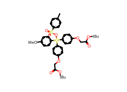 COc1ccc(S(OS(=O)(=O)c2ccc(C)cc2)(c2ccc(OCC(=O)OC(C)(C)C)cc2)c2ccc(OCC(=O)OC(C)(C)C)cc2)cc1